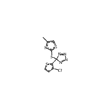 Cc1csc(SC2(c3sccc3Cl)N=NN=N2)n1